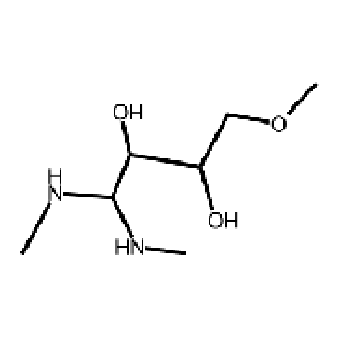 CNC(NC)C(O)C(O)COC